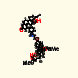 CC#C[C@]1(O)CCC2C3CCC4=CC(=O)CCC4=C3[C@@H](c3ccc(N(C)CCO[C@H]4CC[C@@]5(C)[C@@H](C4)C[C@@H](OCSC)[C@@H]4[C@@H]5C[C@H](O)[C@]5(C)[C@@H]([C@H](C)CCC(=O)OC)CC[C@@H]45)cc3)C[C@@]21C